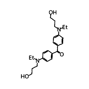 CCN(CCCO)c1ccc(C(=O)c2ccc(N(CC)CCCO)cc2)cc1